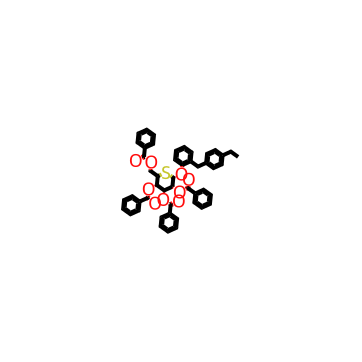 CCc1ccc(Cc2ccccc2O[C@H]2SC(COC(=O)c3ccccc3)[C@H](OC(=O)c3ccccc3)[C@H](OC(=O)c3ccccc3)C2OC(=O)c2ccccc2)cc1